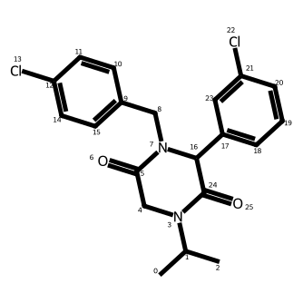 CC(C)N1CC(=O)N(Cc2ccc(Cl)cc2)C(c2cccc(Cl)c2)C1=O